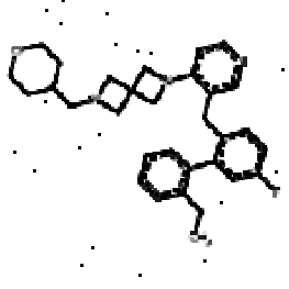 CCc1ccccc1-c1cc(F)ccc1Cc1cnccc1N1CC2(CN(CC3CCOCC3)C2)C1